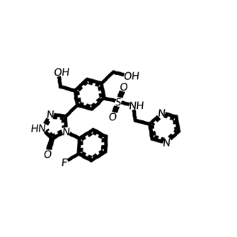 O=c1[nH]nc(-c2cc(S(=O)(=O)NCc3cnccn3)c(CO)cc2CO)n1-c1ccccc1F